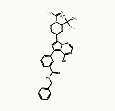 CC(C)(C)C1CC(c2cc(-c3cccc(C(=O)NCc4ccccc4)c3)c3c(N)ncnn23)CCN1C(=O)O